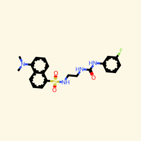 CN(C)c1cccc2c(S(=O)(=O)NCCNC(=O)Nc3cccc(F)c3)cccc12